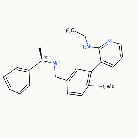 COc1ccc(CN[C@H](C)c2ccccc2)cc1-c1cccnc1NCC(F)(F)F